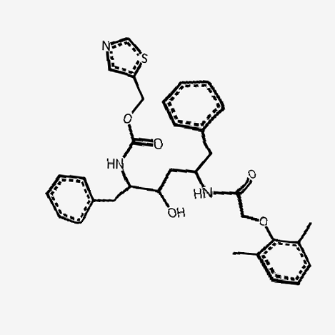 Cc1cccc(C)c1OCC(=O)NC(Cc1ccccc1)CC(O)C(Cc1ccccc1)NC(=O)OCc1cncs1